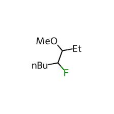 [CH2]CC(OC)C(F)CCCC